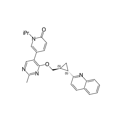 Cc1ncc(-c2ccc(=O)n(C(C)C)c2)c(OC[C@H]2C[C@@H]2c2ccc3ccccc3n2)n1